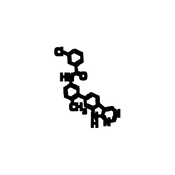 Cc1ccc(NC(=O)c2cccc(Cl)c2)cc1-c1ccc2c(c1)[nH]c1ncncc12